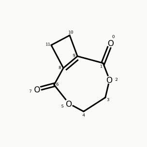 O=C1OCCOC(=O)C2=C1CC2